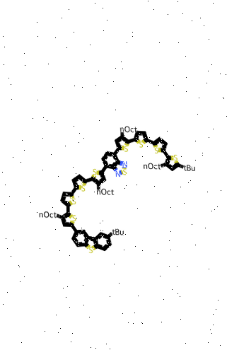 CCCCCCCCc1cc(-c2ccc3sc4ccc(C(C)(C)C)cc4c3c2)sc1-c1ccc(-c2ccc(-c3sc(-c4ccc(-c5cc(CCCCCCCC)c(-c6ccc(-c7ccc(-c8sc(C(C)(C)C)cc8CCCCCCCC)s7)s6)s5)c5nsnc45)cc3CCCCCCCC)s2)s1